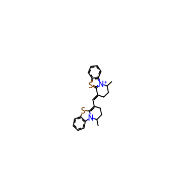 CC1CCC(C=C2CCC(C)[n+]3c2sc2ccccc23)=C2Sc3ccccc3N21